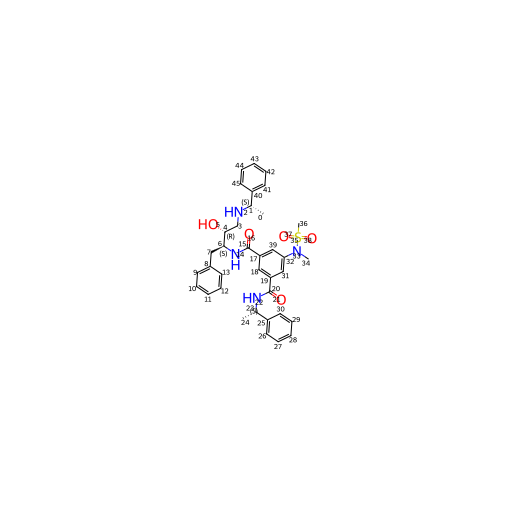 C[C@H](NC[C@@H](O)[C@H](Cc1ccccc1)NC(=O)c1cc(C(=O)N[C@@H](C)c2ccccc2)cc(N(C)S(C)(=O)=O)c1)c1ccccc1